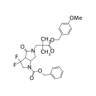 COc1ccc(COC(=O)C(C)(C)CN2CC3C(C2=O)C(F)(F)CN3C(=O)OCc2ccccc2)cc1